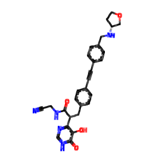 N#CCNC(=O)C(Cc1ccc(C#Cc2ccc(CN[C@@H]3CCOC3)cc2)cc1)c1nc[nH]c(=O)c1O